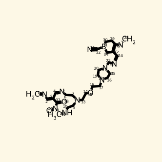 C=N/C=C(\C=N/CCN(CCNC)CCOCCN1CCN(C/N=C\C2=C(N=C)CCB(C#N)C2)CC1)C(=O)N=O